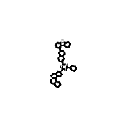 c1ccc(-c2nc(-c3ccc4cc(-c5cccc6oc7ccccc7c56)ccc4c3)nc(-c3ccc4c(ccc5ccc6ccccc6c54)c3)n2)cc1